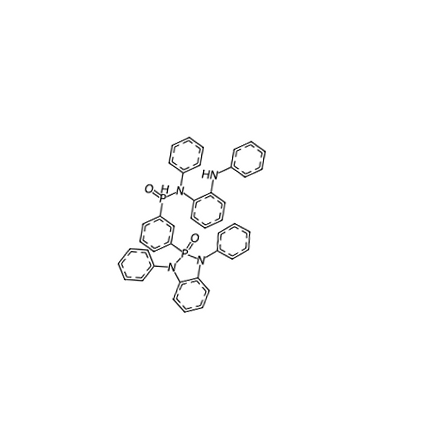 O=[PH](c1cccc(P2(=O)N(c3ccccc3)c3ccccc3N2c2ccccc2)c1)N(c1ccccc1)c1ccccc1Nc1ccccc1